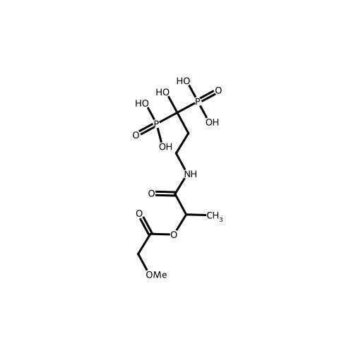 COCC(=O)OC(C)C(=O)NCCC(O)(P(=O)(O)O)P(=O)(O)O